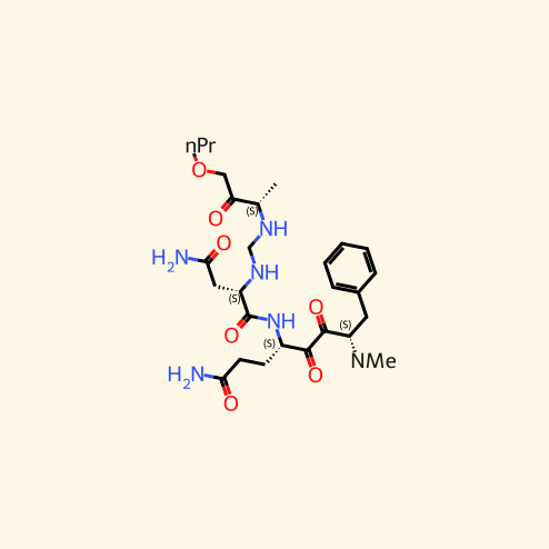 CCCOCC(=O)[C@H](C)NCN[C@@H](CC(N)=O)C(=O)N[C@@H](CCC(N)=O)C(=O)C(=O)[C@H](Cc1ccccc1)NC